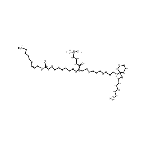 CCCCCC/C=C\COC(=O)CCCCCCCCCN(CCCCCCCCCCOC1(OCCCCCCC)CCCCC1)C(=O)CCCN(C)C